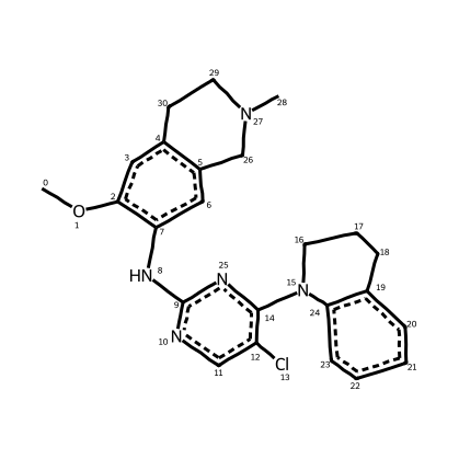 COc1cc2c(cc1Nc1ncc(Cl)c(N3CCCc4ccccc43)n1)CN(C)CC2